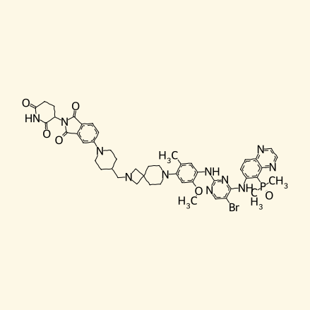 COc1cc(N2CCC3(CC2)CN(CC2CCN(c4ccc5c(c4)C(=O)N(C4CCC(=O)NC4=O)C5=O)CC2)C3)c(C)cc1Nc1ncc(Br)c(Nc2ccc3nccnc3c2P(C)(C)=O)n1